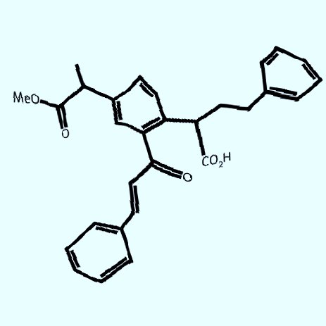 COC(=O)C(C)c1ccc(C(CCc2ccccc2)C(=O)O)c(C(=O)/C=C/c2ccccc2)c1